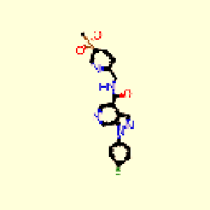 CS(=O)(=O)c1ccc(CNC(=O)c2cncc3c2cnn3-c2ccc(F)cc2)nc1